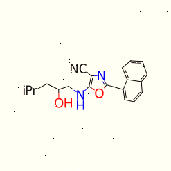 CC(C)CC(O)CNc1oc(-c2cccc3ccccc23)nc1C#N